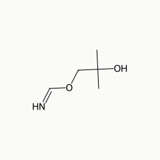 CC(C)(O)COC=N